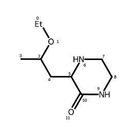 CCOC(C)CC1NCCNC1=O